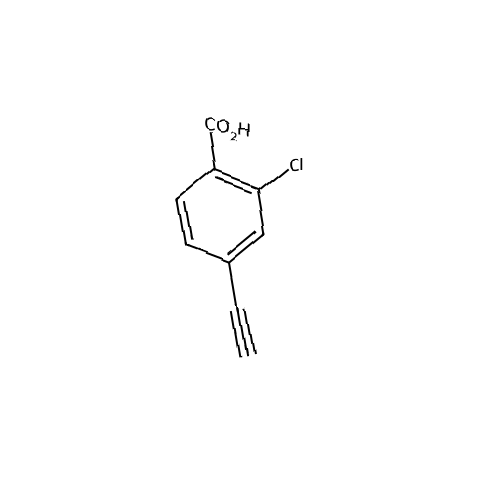 C#Cc1ccc(C(=O)O)c(Cl)c1